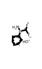 Cl.NN(c1ccccc1)C(F)F